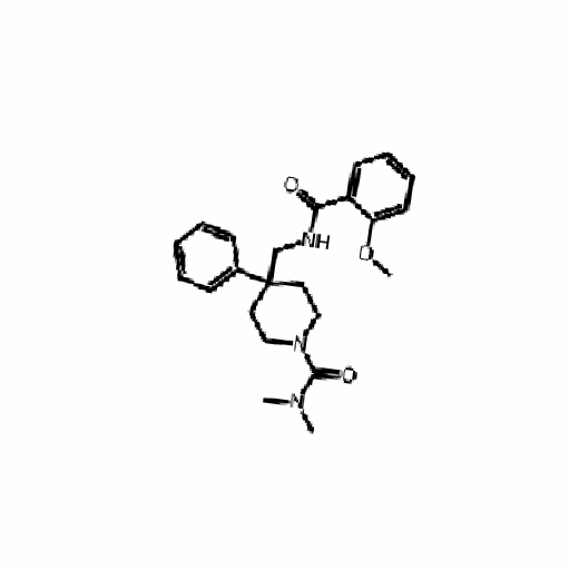 COc1ccccc1C(=O)NCC1(c2ccccc2)CCN(C(=O)N(C)C)CC1